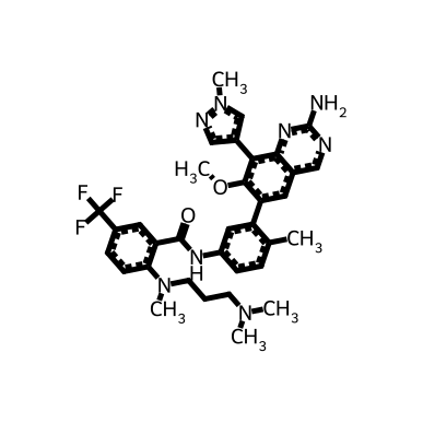 COc1c(-c2cc(NC(=O)c3cc(C(F)(F)F)ccc3N(C)CCCN(C)C)ccc2C)cc2cnc(N)nc2c1-c1cnn(C)c1